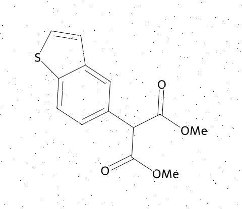 COC(=O)C(C(=O)OC)c1ccc2sccc2c1